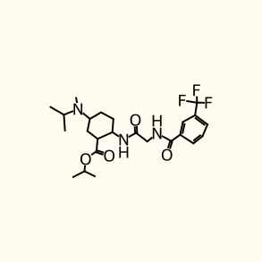 CC(C)OC(=O)C1CC(N(C)C(C)C)CCC1NC(=O)CNC(=O)c1cccc(C(F)(F)F)c1